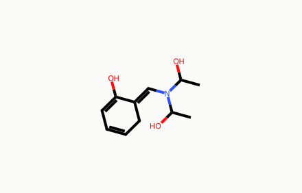 CC(O)N(C=C1CC=CC=C1O)C(C)O